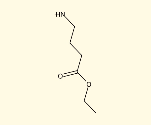 CCOC(=O)CCC[NH]